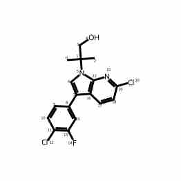 CC(C)(CO)n1cc(-c2ccc(Cl)c(F)c2)c2ccc(Cl)nc21